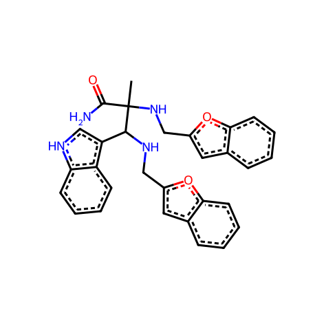 CC(NCc1cc2ccccc2o1)(C(N)=O)C(NCc1cc2ccccc2o1)c1c[nH]c2ccccc12